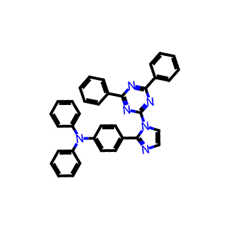 c1ccc(-c2nc(-c3ccccc3)nc(-n3ccnc3-c3ccc(N(c4ccccc4)c4ccccc4)cc3)n2)cc1